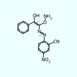 N#Cc1cc([N+](=O)[O-])ccc1/N=N/C(ON)=C(/O)c1ccccc1